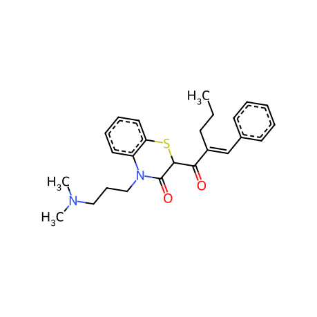 CCC/C(=C\c1ccccc1)C(=O)C1Sc2ccccc2N(CCCN(C)C)C1=O